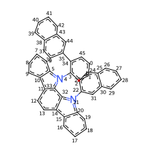 c1ccc(-n2c3ccccc3c3ccc4c5ccccc5n(-c5ccc6ccccc6c5)c4c32)c(-c2ccc3ccccc3c2)c1